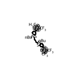 CCCCN1C(=CC=Cc2sc3cc(S(=O)(=O)N(S(C)(=O)=O)S(=O)(=O)C(F)(F)F)ccc3[n+]2CCCC)Sc2cc(S(=O)(=O)N(S(=O)(=O)C(F)(F)F)S(=O)(=O)C(F)(F)F)ccc21